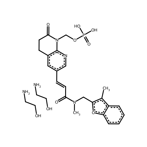 Cc1c(CN(C)C(=O)/C=C/c2cnc3c(c2)CCC(=O)N3COP(=O)(O)O)oc2ccccc12.NCCO.NCCO